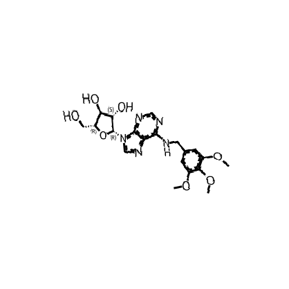 COc1cc(CNc2ncnc3c2ncn3[C@@H]2O[C@H](CO)C(O)[C@@H]2O)cc(OC)c1OC